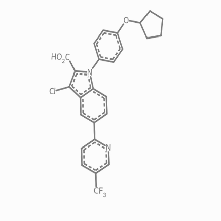 O=C(O)c1c(Cl)c2cc(-c3ccc(C(F)(F)F)cn3)ccc2n1-c1ccc(OC2CCCC2)cc1